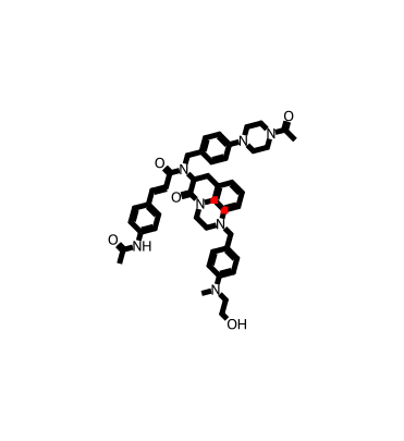 CC(=O)Nc1ccc(C=CC(=O)N(Cc2ccc(N3CCN(C(C)=O)CC3)cc2)C(Cc2ccccc2)C(=O)N2CCN(Cc3ccc(N(C)CCO)cc3)CC2)cc1